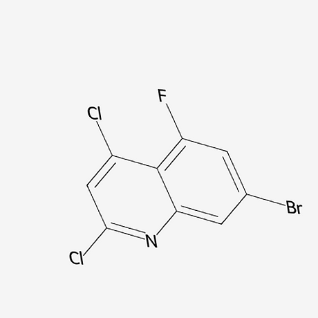 Fc1cc(Br)cc2nc(Cl)cc(Cl)c12